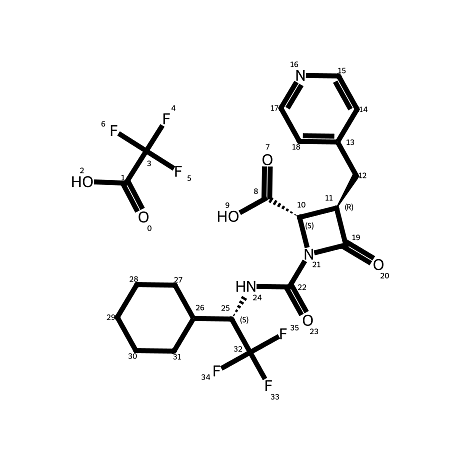 O=C(O)C(F)(F)F.O=C(O)[C@@H]1[C@@H](Cc2ccncc2)C(=O)N1C(=O)N[C@@H](C1CCCCC1)C(F)(F)F